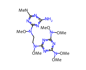 CNc1nc(N)nc(N(CCN(OC)c2nc(N(OC)OC)nc(N(OC)OC)n2)OC)n1